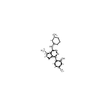 CN1CCC[C@@H](Nc2nnc(-c3ccc(C(F)(F)F)cc3O)c3cnn(C)c23)C1